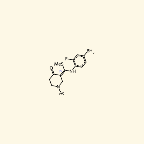 Bc1ccc(N/C(SC)=C2\CN(C(C)=O)CCC2=O)c(F)c1